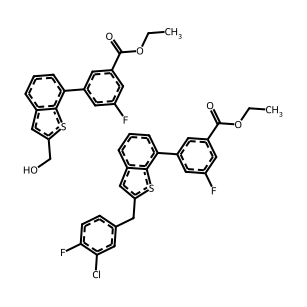 CCOC(=O)c1cc(F)cc(-c2cccc3cc(CO)sc23)c1.CCOC(=O)c1cc(F)cc(-c2cccc3cc(Cc4ccc(F)c(Cl)c4)sc23)c1